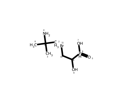 CC(C)(C)N.O=[PH](O)C(O)CBr